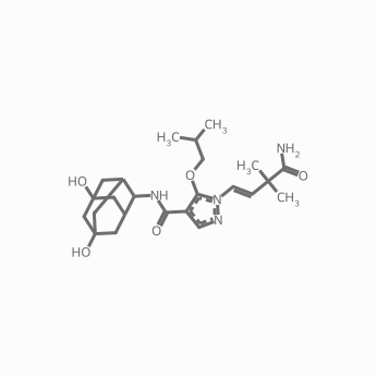 CC(C)COc1c(C(=O)NC2C3CC4(O)CC2CC(O)(C3)C4)cnn1/C=C/C(C)(C)C(N)=O